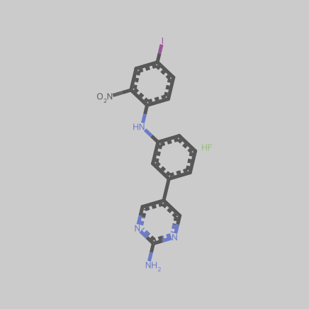 F.Nc1ncc(-c2cccc(Nc3ccc(I)cc3[N+](=O)[O-])c2)cn1